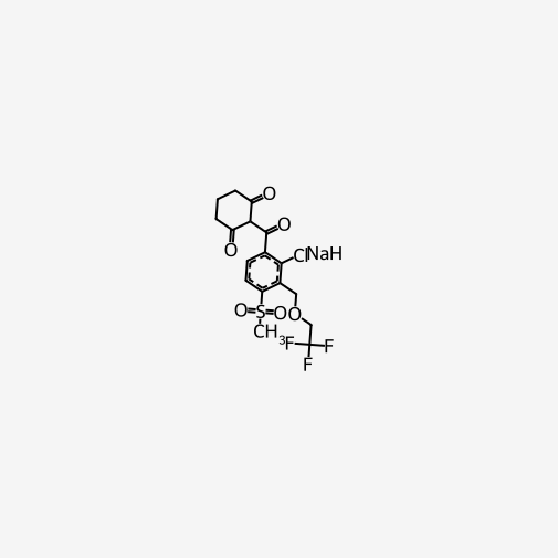 CS(=O)(=O)c1ccc(C(=O)C2C(=O)CCCC2=O)c(Cl)c1COCC(F)(F)F.[NaH]